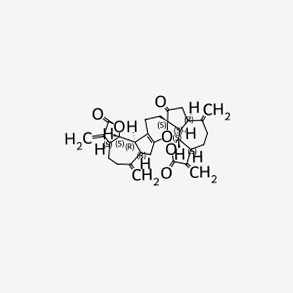 C=C1C(=O)O[C@@H]2[C@H]3C4=C(C[C@H]3C(=C)CC[C@@H]12)O[C@]1(CC4)C(=O)C[C@H]2C(=C)CC[C@H]3C(=C)C(=O)O[C@@H]3[C@H]21